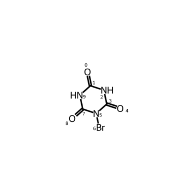 O=c1[nH]c(=O)n(Br)c(=O)[nH]1